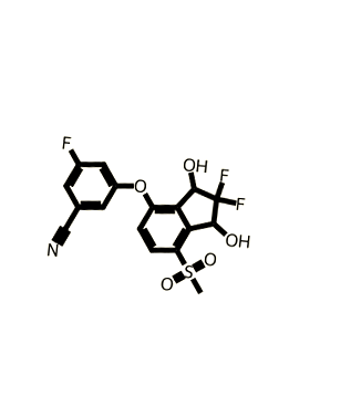 CS(=O)(=O)c1ccc(Oc2cc(F)cc(C#N)c2)c2c1C(O)C(F)(F)C2O